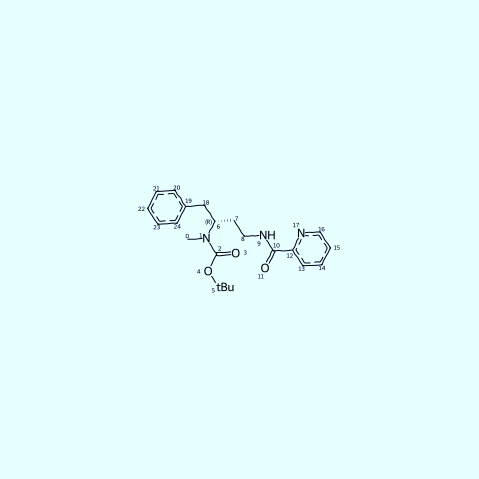 CN(C(=O)OC(C)(C)C)[C@@H](CCNC(=O)c1ccccn1)Cc1ccccc1